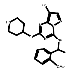 COc1ccccc1C(C)Nc1nc(OC2CCNCC2)nc2c(C(C)C)cnn12